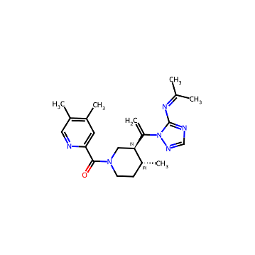 C=C([C@@H]1CN(C(=O)c2cc(C)c(C)cn2)CC[C@H]1C)n1ncnc1N=C(C)C